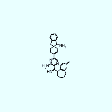 C=C/C=C\C1=C(C)CCCCC1C(=N)c1ncc(C2=CC[C@@]3(CC2)Cc2ccccc2[C@H]3N)nc1N